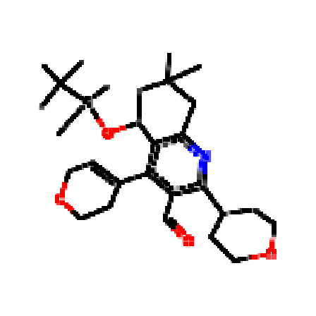 CC1(C)Cc2nc(C3CCOCC3)c(C=O)c(C3=CCOCC3)c2C(O[Si](C)(C)C(C)(C)C)C1